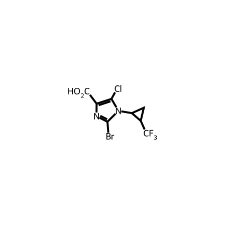 O=C(O)c1nc(Br)n(C2CC2C(F)(F)F)c1Cl